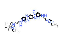 CN(C=[N+](C)C)CCCNc1ccc(/N=C2/C=C(Nc3ccc(NCCCn4cc[n+](C)c4)cc3)C(=N)C=C2N)cc1